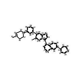 Cc1nn2c(-c3ccnc4cc(-c5ccncc5)ccc34)cnc2cc1-c1cccc(N2CCN(C)CC2)c1